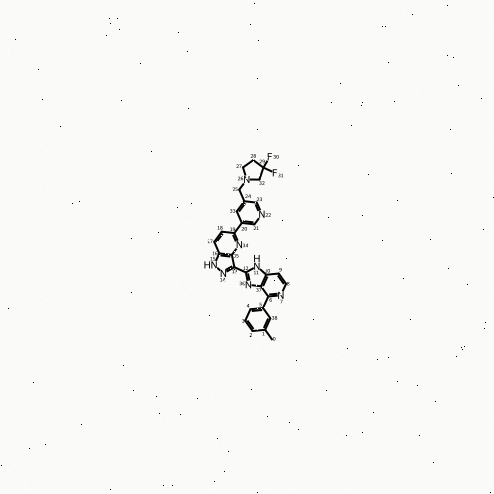 Cc1cccc(-c2nccc3[nH]c(-c4n[nH]c5ccc(-c6cncc(CN7CCC(F)(F)C7)c6)nc45)nc23)c1